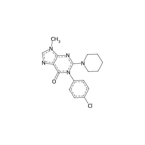 Cn1cnc2c(=O)n(-c3ccc(Cl)cc3)c(N3CCCCC3)nc21